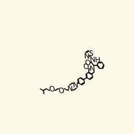 CC(C)CCOCCOCCN1CCN(c2ccc(-c3ccc4c(c3)C(=O)N(C(C(=O)Nc3nccs3)c3ccccc3)C4)cc2)CC1